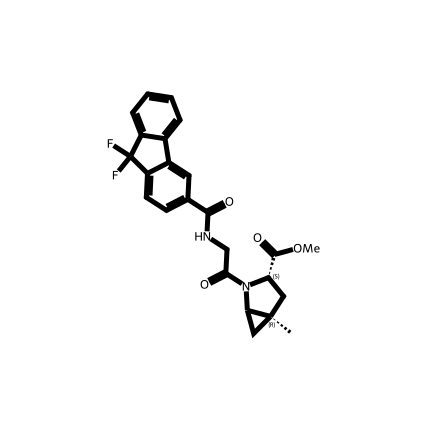 COC(=O)[C@@H]1C[C@@]2(C)CC2N1C(=O)CNC(=O)c1ccc2c(c1)-c1ccccc1C2(F)F